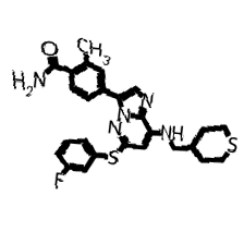 Cc1cc(-c2cnc3c(NCC4CCSCC4)cc(Sc4cccc(F)c4)nn23)ccc1C(N)=O